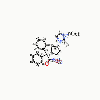 CCCCCCCC[n+]1ccn([C@@H]2CC[C@H](C(C(N)=O)(c3ccccc3)c3ccccc3)C2)c1C.[Br-]